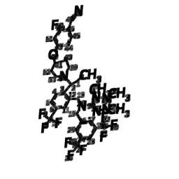 CCC(c1ccc(C(F)(F)F)cc1CN(Cc1cc(C(F)(F)F)cc(C(F)(F)F)c1)C1=NN(C)N(C)N1C)N1CCC(Oc2ccc(C#N)c(F)c2)CC1